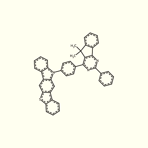 CC1(C)c2ccccc2-c2nc(-c3ccccc3)nc(-c3ccc(-n4c5ccccc5c5cc6sc7ccccc7c6cc54)cc3)c21